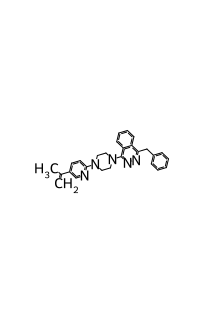 C=C(C)c1ccc(N2CCN(c3nnc(Cc4ccccc4)c4ccccc34)CC2)nc1